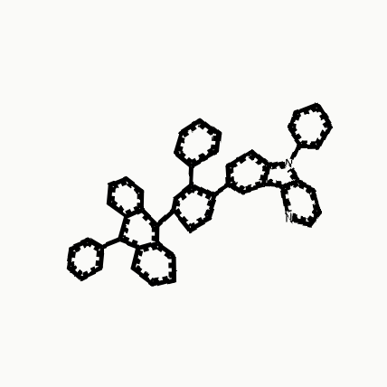 c1ccc(-c2cc(-c3c4ccccc4c(-c4ccccc4)c4ccccc34)ccc2-c2ccc3c(c2)c2ncccc2n3-c2ccccc2)cc1